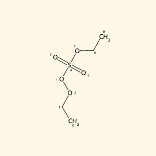 CCOOS(=O)(=O)OCC